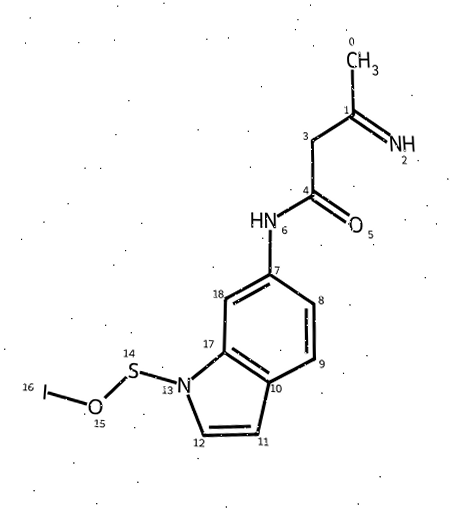 CC(=N)CC(=O)Nc1ccc2ccn(SOI)c2c1